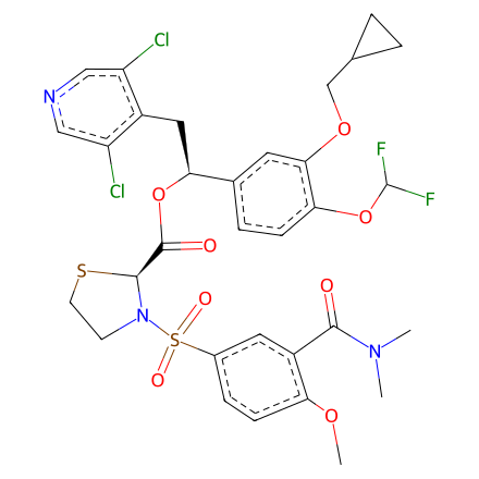 COc1ccc(S(=O)(=O)N2CCS[C@H]2C(=O)O[C@@H](Cc2c(Cl)cncc2Cl)c2ccc(OC(F)F)c(OCC3CC3)c2)cc1C(=O)N(C)C